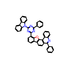 c1ccc(-c2nc(-c3cccc4c3oc3c4ccc4c(-c5ccccc5)nc5ccccc5c43)nc(-n3c4ccccc4c4ccccc43)n2)cc1